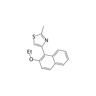 CCOc1ccc2ccccc2c1-c1csc(C)n1